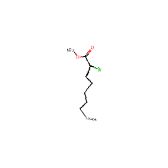 CCCCCCCCCCCCCCC(Br)C(=O)OC(C)(C)C